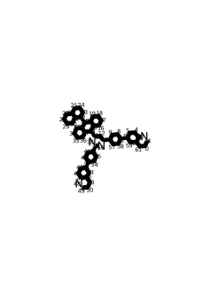 c1cnc2ccc(-c3ccc(-c4cc(-c5c6ccccc6c(-c6cccc7ccccc67)c6ccccc56)nc(-c5ccc(-c6ccc7ncccc7c6)cc5)n4)cc3)cc2c1